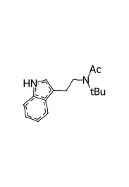 CC(=O)N(CCc1c[nH]c2ccccc12)C(C)(C)C